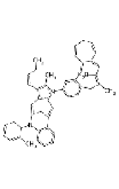 BC1=C(\C)Cc2ccc(-n3c(C)c(/C=C\C=C)c4c3C=C3CC(=C4)N(C4CC=CC=C4C)c4ccccc43)cc2\C=C2/C=CCC=C/C2=C/1